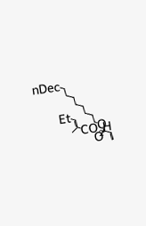 C=CC(=O)OCCCCCCCCCCCCCCCCCC.CCC=C(C)C(=O)O